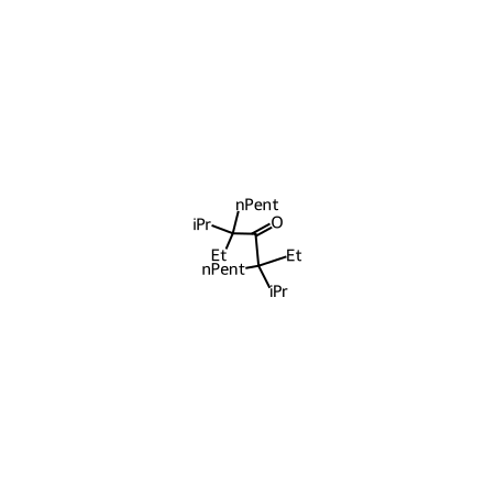 CCCCCC(CC)(C(=O)C(CC)(CCCCC)C(C)C)C(C)C